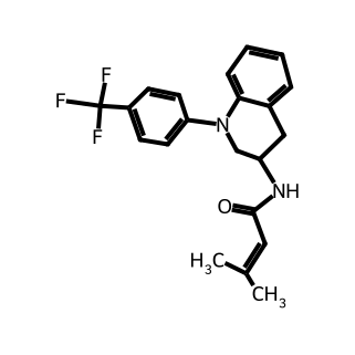 CC(C)=CC(=O)NC1Cc2ccccc2N(c2ccc(C(F)(F)F)cc2)C1